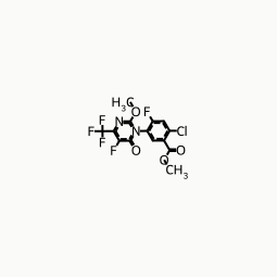 COC(=O)c1cc(-n2c(OC)nc(C(F)(F)F)c(F)c2=O)c(F)cc1Cl